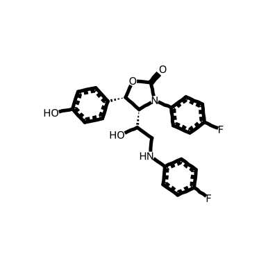 O=C1O[C@@H](c2ccc(O)cc2)[C@@H](C(O)CNc2ccc(F)cc2)N1c1ccc(F)cc1